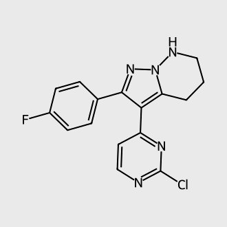 Fc1ccc(-c2nn3c(c2-c2ccnc(Cl)n2)CCCN3)cc1